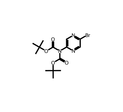 CC(C)(C)OC(=O)N(C(=O)OC(C)(C)C)c1cnc(Br)cn1